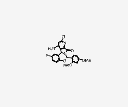 COc1ccc(CN2C(=O)c3nc(Cl)cc(N)c3C2c2cc(F)ccc2Cl)c(OC)c1